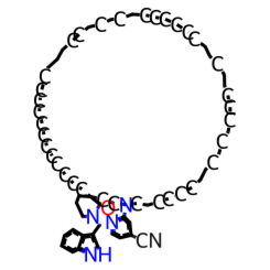 N#Cc1ccnc(N2CCCCCCCCCCCCCCCCCCCCCCCCCCCCCCCCCCCCCCCCCCCCCCCCC3(CCCN(Cc4c[nH]c5ccccc45)C3=O)CC2)c1